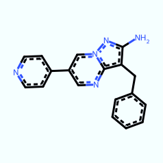 Nc1nn2cc(-c3ccncc3)cnc2c1Cc1ccccc1